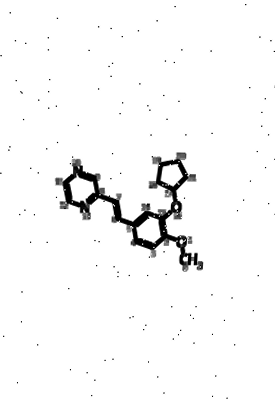 COc1ccc(C=Cc2cnccn2)cc1OC1CCCC1